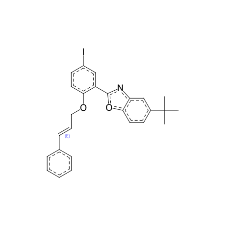 CC(C)(C)c1ccc2oc(-c3cc(I)ccc3OC/C=C/c3ccccc3)nc2c1